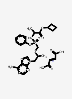 CC(Cn1cnc2c(N)ncnc21)OCP(=O)(NC(C)C(=O)OC1CCC1)Oc1ccccc1.O=C(O)/C=C/C(=O)O